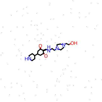 O=C1CC(C2CCNCC2)CC(=O)C1=CNCCN1CCN(CCO)CC1